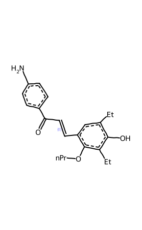 CCCOc1c(/C=C/C(=O)c2ccc(N)cc2)cc(CC)c(O)c1CC